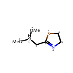 CO[SiH](CC1=NCCS1)OC